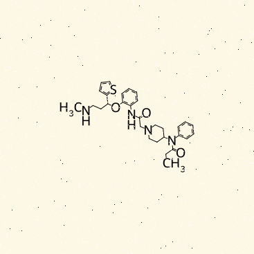 CCC(=O)N(c1ccccc1)C1CCN(CC(=O)Nc2ccccc2OC(CCNC)c2cccs2)CC1